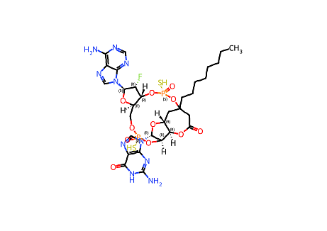 CCCCCCCCC12CC(=O)O[C@H]3[C@@H](O[P@](=O)(S)OC[C@H]4O[C@@H](n5cnc6c(N)ncnc65)[C@H](F)[C@@H]4O[P@](=O)(S)O1)[C@H](n1cnc4c(=O)[nH]c(N)nc41)O[C@@H]3C2